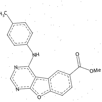 COC(=O)c1ccc2oc3ncnc(Nc4ccc(C)cc4)c3c2c1